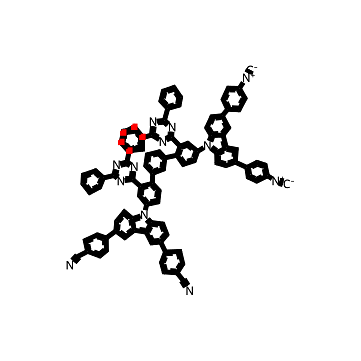 [C-]#[N+]c1ccc(-c2ccc3c(c2)c2cc(-c4ccc([N+]#[C-])cc4)ccc2n3-c2ccc(-c3cccc(-c4ccc(-n5c6ccc(-c7ccc(C#N)cc7)cc6c6cc(-c7ccc(C#N)cc7)ccc65)cc4-c4nc(-c5ccccc5)nc(-c5ccccc5)n4)c3)c(-c3nc(-c4ccccc4)nc(-c4ccccc4)n3)c2)cc1